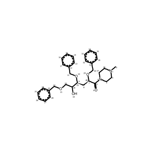 CN1CCN(C(=O)[C@@H](C[C@H](OCc2ccccc2)C(O)COCc2ccccc2)OCc2ccccc2)CC1